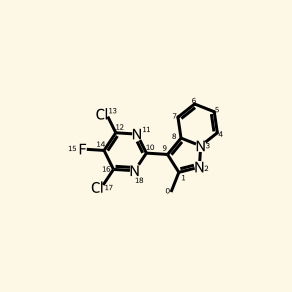 Cc1nn2ccccc2c1-c1nc(Cl)c(F)c(Cl)n1